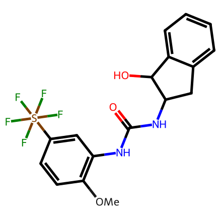 COc1ccc(S(F)(F)(F)(F)F)cc1NC(=O)NC1Cc2ccccc2C1O